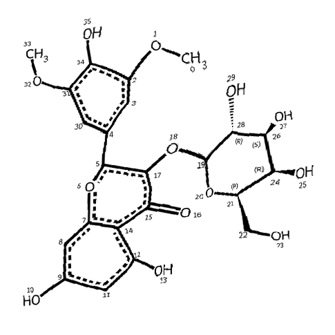 COc1cc(-c2oc3cc(O)cc(O)c3c(=O)c2OC2O[C@H](CO)[C@H](O)[C@H](O)[C@H]2O)cc(OC)c1O